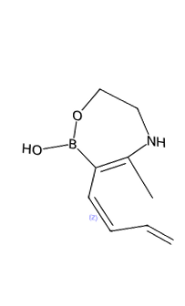 C=C/C=C\C1=C(C)NCCOB1O